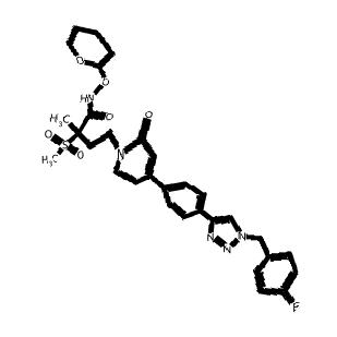 CC(CCn1ccc(-c2ccc(-c3cn(Cc4ccc(F)cc4)nn3)cc2)cc1=O)(C(=O)NOC1CCCCO1)S(C)(=O)=O